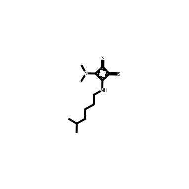 CC(C)CCCCNc1c(N(C)C)c(=S)c1=S